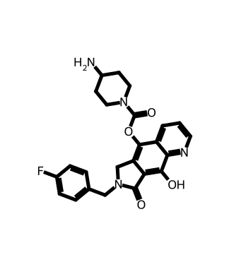 NC1CCN(C(=O)Oc2c3c(c(O)c4ncccc24)C(=O)N(Cc2ccc(F)cc2)C3)CC1